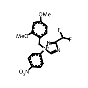 COc1ccc(C[N+]2(c3ccc([N+](=O)[O-])cc3)C=NC(C(F)F)=N2)c(OC)c1